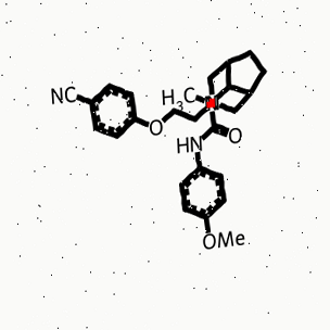 COc1ccc(NC(=O)N(C)C2C3CCC2CN(CCOc2ccc(C#N)cc2)C3)cc1